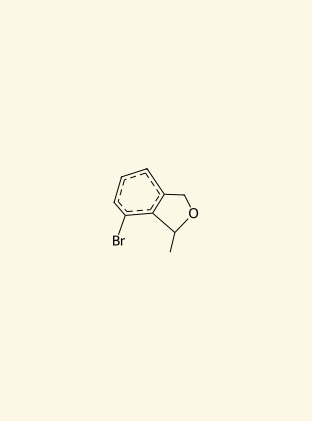 CC1OCc2cccc(Br)c21